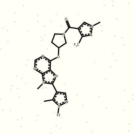 CCn1ncc(-c2nc3c(OC4CCN(C(=O)c5cn(C)nc5C(F)(F)F)C4)ncnc3n2C)c1C